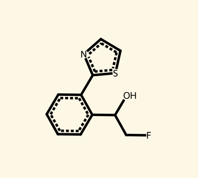 OC(CF)c1ccccc1-c1nccs1